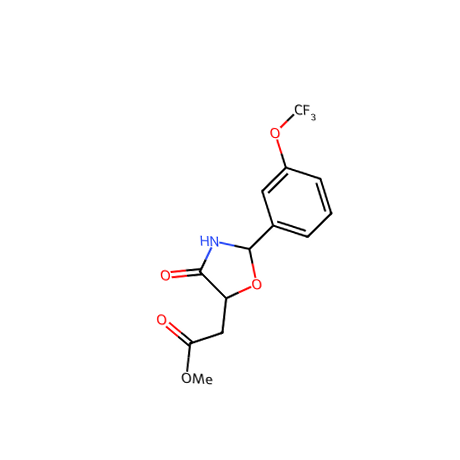 COC(=O)CC1OC(c2cccc(OC(F)(F)F)c2)NC1=O